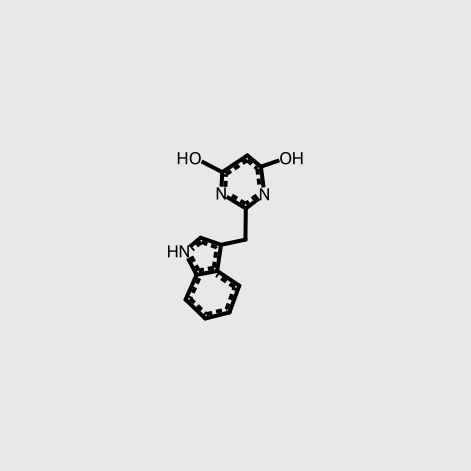 Oc1cc(O)nc(Cc2c[nH]c3ccccc23)n1